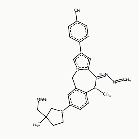 C=N/N=C1/c2cc(-c3ccc(C#N)cc3)cn2Cc2cc(N3CCC(C)(CNC)C3)ccc2N1C